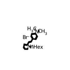 CCCCCC[n+]1ccccc1/C=C/c1ccc(N(C)C)cc1.[Br-]